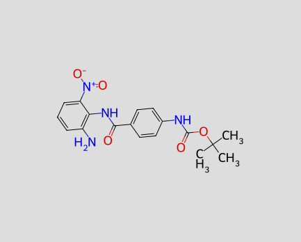 CC(C)(C)OC(=O)Nc1ccc(C(=O)Nc2c(N)cccc2[N+](=O)[O-])cc1